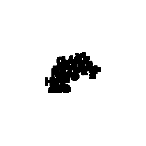 CCN(c1cc(Cl)cc(C(=O)NCc2c(-c3ccccn3)[nH]c(C)cc2=O)c1C)[C@H]1CC[C@H](N(C)C)CC1